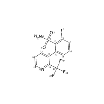 NS(=O)(=O)c1c(I)cccc1-c1cccnc1C(F)(F)F